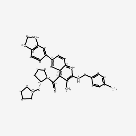 Cc1c(NCc2ccc(C(F)(F)F)cc2)nc2ccc(-c3ccc4c(c3)OCO4)cc2c1C(=O)N1CCC[C@H]1CN1CCCC1